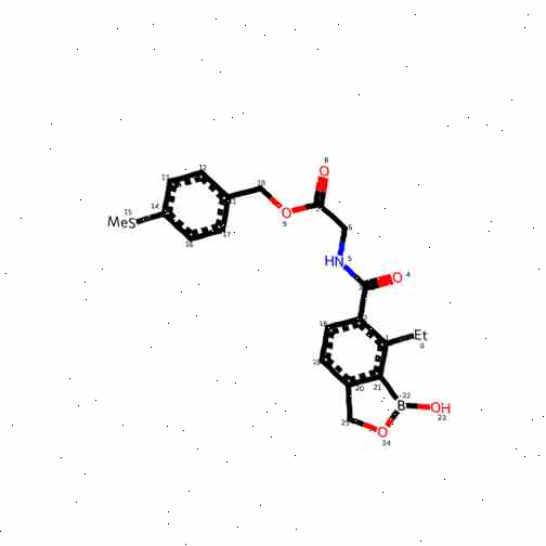 CCc1c(C(=O)NCC(=O)OCc2ccc(SC)cc2)ccc2c1B(O)OC2